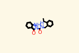 CCc1ccccc1CNC(=O)n1[nH]c2ccccc2c1=O